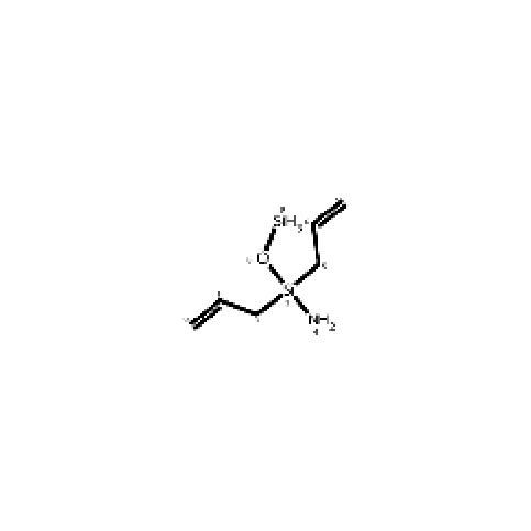 C=CC[Si](N)(CC=C)O[SiH3]